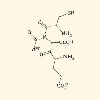 CCCC(=O)N(C(=O)C(N)CS)C(C(=O)O)C(=O)C(N)CCC(=O)O